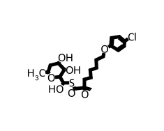 CC1CC(O)C(O)C(C(O)SC(=O)C2(CCCCCCOc3ccc(Cl)cc3)CO2)O1